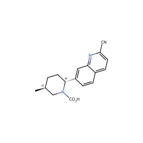 C[C@H]1CC[C@H](c2ccc3ccc(C#N)nc3c2)N(C(=O)O)C1